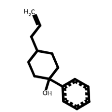 C=CCC1CCC(O)(c2ccccc2)CC1